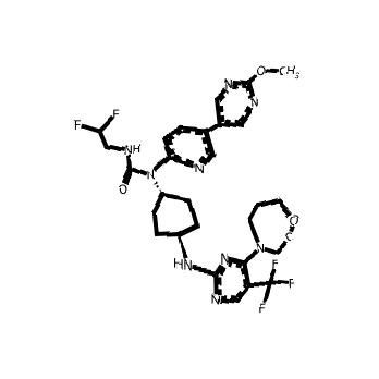 COc1ncc(-c2ccc(N(C(=O)NCC(F)F)[C@H]3CC[C@H](Nc4ncc(C(F)(F)F)c(N5CCCOCC5)n4)CC3)nc2)cn1